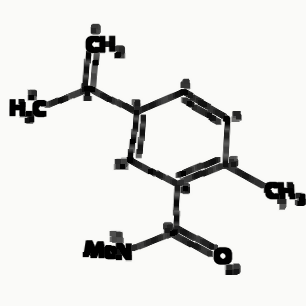 C=C(C)c1ccc(C)c(C(=O)NC)c1